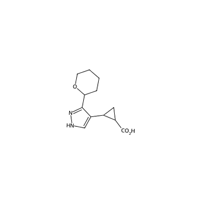 O=C(O)C1CC1c1c[nH]nc1C1CCCCO1